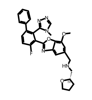 COc1cc(CNC[C@@H]2CCCO2)cc2nc(-c3c(F)ccc(-c4ccccc4)c3-c3nncn3C)oc12